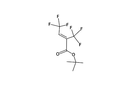 CC(C)(C)OC(=O)/C(=C/C(F)(F)F)C(F)(F)F